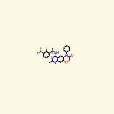 Cc1nc(N[C@H](C)c2cccc(C(F)F)c2F)c2cc3c(cc2n1)OCC(=O)N3c1ccccc1